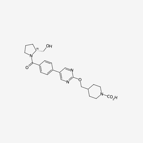 O=C(O)N1CCC(COc2ncc(-c3ccc(C(=O)N4CCC[C@@H]4CO)cc3)cn2)CC1